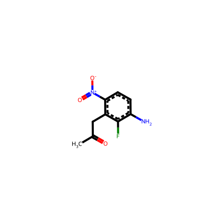 CC(=O)Cc1c([N+](=O)[O-])ccc(N)c1F